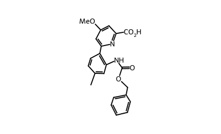 COc1cc(C(=O)O)nc(-c2ccc(C)cc2NC(=O)OCc2ccccc2)c1